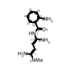 CN/C(N)=C/C=C(\N)NC(=O)c1ccccc1N